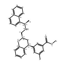 COC(=O)c1cc(C)cc([C@@H]2C[C@H](CN[C@H](C)c3cccc4ccccc34)Oc3ccccc32)c1